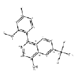 COc1cc(C)ccc1-c1nnc(O)c2cc(C(F)(F)F)ccc12